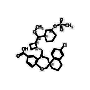 CO[C@@H]([C@@H]1CCC[C@@H](OS(C)(=O)=O)C1)[C@@H]1CC[C@H]1CN1C[C@@]2(CCCc3cc(Cl)ccc32)COc2ccc(C(=O)O)cc21